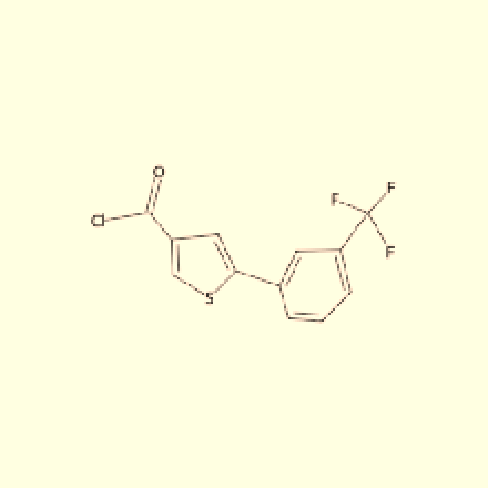 O=C(Cl)c1csc(-c2cccc(C(F)(F)F)c2)c1